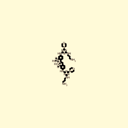 NCCCNc1nc(Nc2ccc(/C=C/c3ccc(Nc4nc(NCCCN)nc(N5CCOCC5)n4)cc3S(=O)(=O)O)c(S(=O)(=O)O)c2)nc(N2CCOCC2)n1